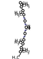 CCCCc1ccc2c(c1)C(C)(C)c1cc(-c3ccc4c(c3)C(C)(C)c3cc(/C=C/c5ccc(/C=C/c6ccc(/C=C/c7ccc(/C=C/c8ccc9c(c8)C(C)(C)c8cc(-c%10ccc%11c(c%10)C(C)(C)c%10ccccc%10-%11)ccc8-9)cc7)c7nsnc67)cc5)ccc3-4)ccc1-2